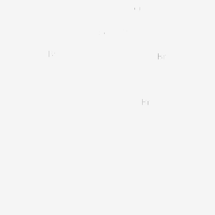 CCCCCCC(Br)C1=C(Br)C(=O)OC1=CBr